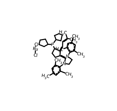 CC(C)=CC=C1C(=C2N(c3c(C)cc(C)cc3C)CCN2c2c(C)cc(C)cc2C)CCC1P(C1CCCC1)C1CCCC1.[Cl][Ru][Cl]